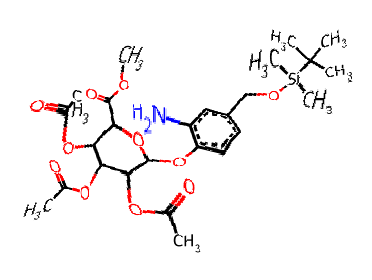 COC(=O)C1OC(Oc2ccc(CO[Si](C)(C)C(C)(C)C)cc2N)C(OC(C)=O)C(OC(C)=O)C1OC(C)=O